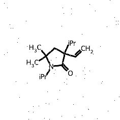 C=CC1(C(C)C)CC(C)(C)N(C(C)C)C1=O